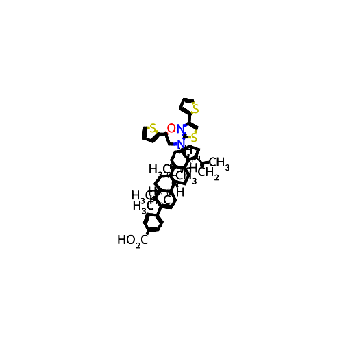 C=C(C)[C@@H]1CC[C@]2(N(CC(=O)c3cccs3)c3nc(-c4cccs4)cs3)CC[C@]3(C)[C@H](CC[C@@H]4[C@@]5(C)CC=C(c6ccc(C(=O)O)cc6)C(C)(C)[C@@H]5CC[C@]43C)[C@@H]12